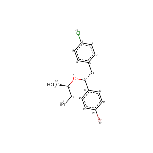 CC(C)C[C@H](O[C@H](Cc1ccc(Cl)cc1)c1ccc(Br)cc1)C(=O)O